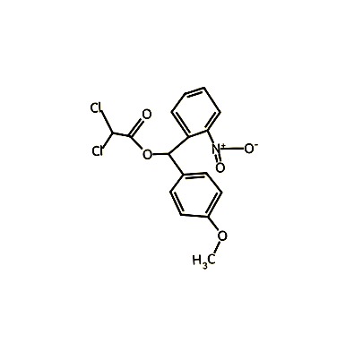 COc1ccc(C(OC(=O)C(Cl)Cl)c2ccccc2[N+](=O)[O-])cc1